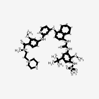 COc1cc(Nc2cc(Oc3ccc(NC(=O)Nc4cc(C(C)(C)C)cc(NS(C)(=O)=O)c4OC)c4ccccc34)ccn2)ccc1C(=O)N(C)CCN1CCOCC1